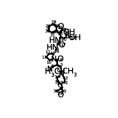 CC(C)(C=C(C#N)C(=O)N1CCC[C@@H]1CNC(=O)N[C@H](CB(O)O)c1coc2ccccc12)N1CCN(C2COC2)CC1